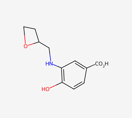 O=C(O)c1ccc(O)c(NCC2CCO2)c1